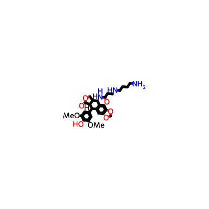 COc1cc(C2c3cc4c(cc3[C@@H](NC(=O)CCNCCCCN)[C@H]3COC(=O)[C@H]23)OCO4)cc(OC)c1O